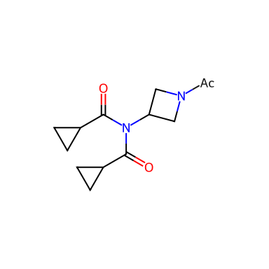 CC(=O)N1CC(N(C(=O)C2CC2)C(=O)C2CC2)C1